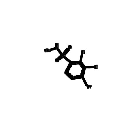 CC(C)c1ccc(S(=O)(=O)NC(C)(C)C)c(Cl)c1Cl